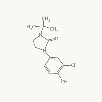 Cc1ccc(N2CCN(C(C)(C)C)C2=O)cc1Cl